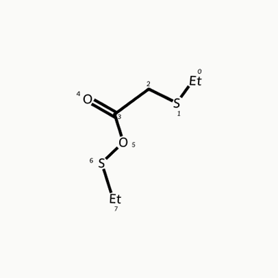 CCSCC(=O)OSCC